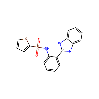 O=S(=O)(Nc1ccccc1-c1nc2ccccc2[nH]1)c1cccs1